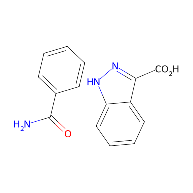 NC(=O)c1ccccc1.O=C(O)c1n[nH]c2ccccc12